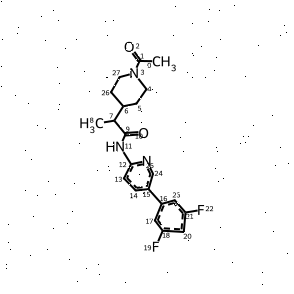 CC(=O)N1CCC(C(C)C(=O)Nc2ccc(-c3cc(F)cc(F)c3)cn2)CC1